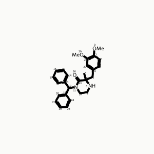 COc1ccc(CC2(C)NCCN(C(c3ccccc3)c3ccccc3)C2=O)cc1OC